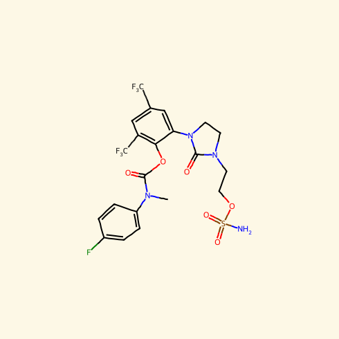 CN(C(=O)Oc1c(N2CCN(CCOS(N)(=O)=O)C2=O)cc(C(F)(F)F)cc1C(F)(F)F)c1ccc(F)cc1